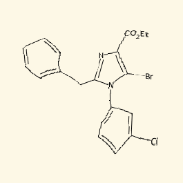 CCOC(=O)c1nc(Cc2ccccc2)n(-c2cccc(Cl)c2)c1Br